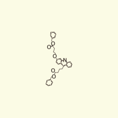 O=C(CCCOc1ccc2c(CCCC(=O)OCc3ccccc3)c3ccccc3nc2c1)OCc1ccccc1